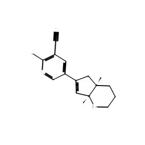 N#Cc1cc(C2=C[C@H]3NCCC[C@H]3C2)cnc1Cl